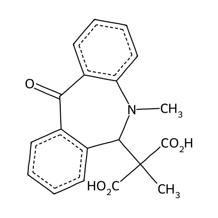 CN1c2ccccc2C(=O)c2ccccc2C1C(C)(C(=O)O)C(=O)O